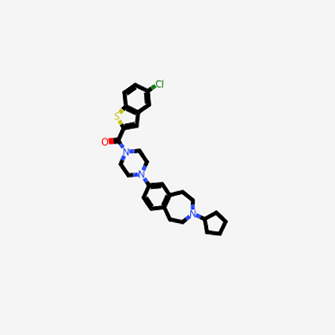 O=C(c1cc2cc(Cl)ccc2s1)N1CCN(c2ccc3c(c2)CCN(C2CCCC2)CC3)CC1